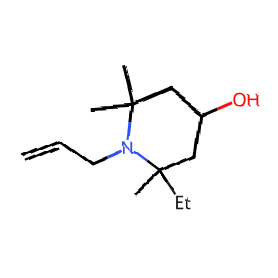 C=CCN1C(C)(C)CC(O)CC1(C)CC